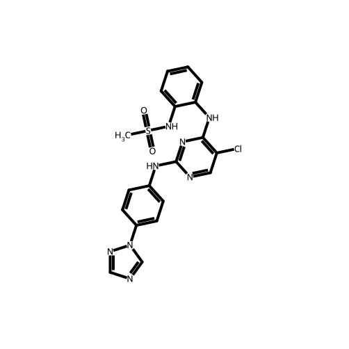 CS(=O)(=O)Nc1ccccc1Nc1nc(Nc2ccc(-n3cncn3)cc2)ncc1Cl